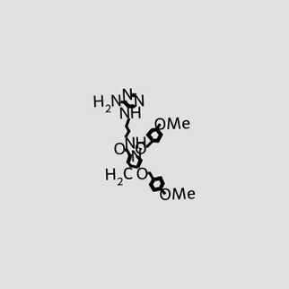 C=C1C=C(C(=O)NCCCCNc2cncnc2N)N(OCc2ccc(OC)cc2)C=C1OCc1ccc(OC)cc1